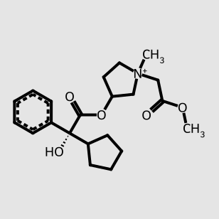 COC(=O)C[N+]1(C)CCC(OC(=O)[C@](O)(c2ccccc2)C2CCCC2)C1